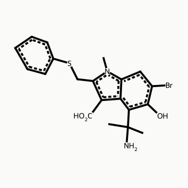 Cn1c(CSc2ccccc2)c(C(=O)O)c2c(C(C)(C)N)c(O)c(Br)cc21